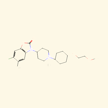 COCCO[C@H]1CC[C@](C)(N2CCC(n3c(=O)oc4cc(F)c(C)cc43)CC2)CC1